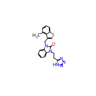 Cc1cccc2scc(Cn3c(=O)n(CCc4nnn[nH]4)c4ccccc43)c12